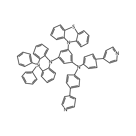 c1ccc([Si]2(c3ccccc3)c3ccccc3N(c3cc(N(c4ccc(-c5ccncc5)cc4)c4ccc(-c5ccncc5)cc4)cc(N4c5ccccc5Sc5ccccc54)c3)c3ccccc32)cc1